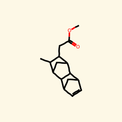 COC(=O)CC1C(C)C2CC1C1C3C=CC(C3)C21